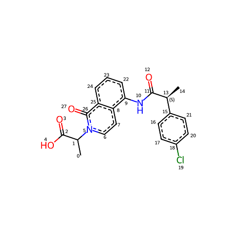 CC(C(=O)O)n1ccc2c(NC(=O)[C@@H](C)c3ccc(Cl)cc3)cccc2c1=O